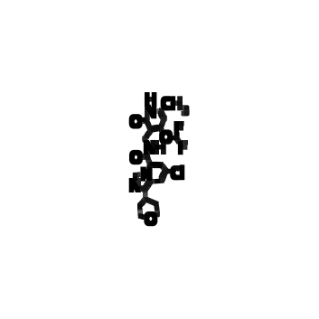 Cc1cc(OC(F)F)c(CNC(=O)c2cc(Cl)cc3c(C4CCOCC4)ncn23)c(=O)[nH]1